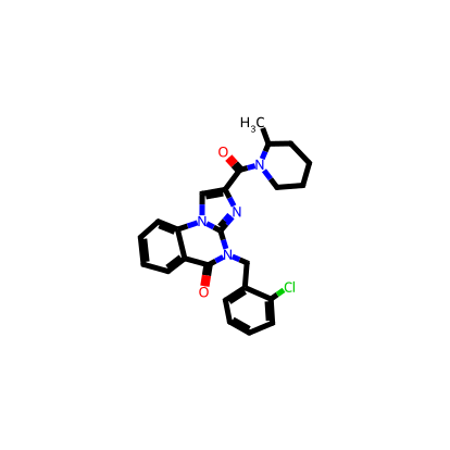 CC1CCCCN1C(=O)c1cn2c3ccccc3c(=O)n(Cc3ccccc3Cl)c2n1